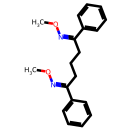 CON=C(CCCC(=NOC)c1ccccc1)c1ccccc1